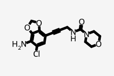 Nc1c(Cl)cc(C#CCNC(=O)N2CCOCC2)c2c1OCO2